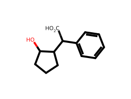 O=C(O)C(c1ccccc1)C1CCCC1O